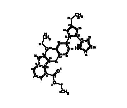 CCOC(=O)c1cccc2nc(OCC)n(Cc3ccc(-n4cc(CC)cc4-c4nnn[nH]4)cc3)c12